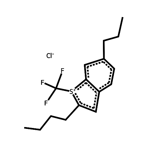 CCCCc1cc2ccc(CCC)cc2[s+]1C(F)(F)F.[Cl-]